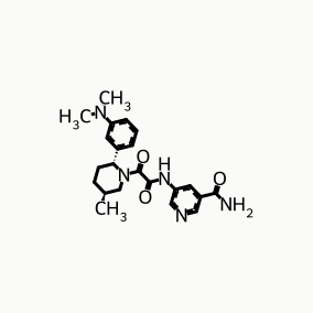 C[C@H]1CC[C@H](c2cccc(N(C)C)c2)N(C(=O)C(=O)Nc2cncc(C(N)=O)c2)C1